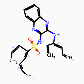 C=C/C=C(\C=C)Nc1nc2ccccc2nc1NS(=O)(=O)C(/C=C\C)=C/C=C\C